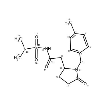 Cc1ccc(CN2C(=O)CCC2CC(=O)NS(=O)(=O)N(C)C)cc1